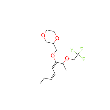 CC/C=C\C=C(\OCC1COCCO1)C(C)OCC(F)(F)F